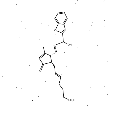 CC1=CC(=O)[C@H](CC=CCCCC(=O)O)[C@H]1C=CC(O)c1nc2ccccc2o1